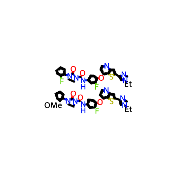 CCn1cnc(-c2cc3nccc(Oc4ccc(NC(=O)N5CCN(c6ccccc6F)C5=O)cc4F)c3s2)c1.CCn1cnc(-c2cc3nccc(Oc4ccc(NC(=O)N5CCN(c6ccccc6OC)C5=O)cc4F)c3s2)c1